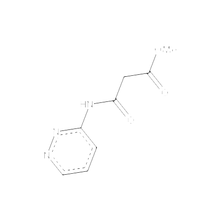 COC(=O)CC(=O)Nc1cccnn1